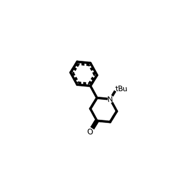 CC(C)(C)N1CCC(=O)CC1c1ccccc1